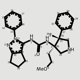 COCC[C@@]1(NC(=O)Nc2c3c(nn2-c2ccccc2)CCC3)CNC[C@@]1(F)c1ccccc1